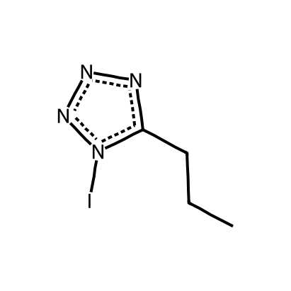 CCCc1nnnn1I